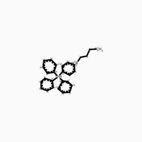 BCCCC.c1ccc([PH](c2ccccc2)(c2ccccc2)c2ccccc2)cc1